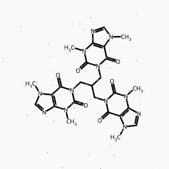 Cn1cnc2c1c(=O)n(CC(Cn1c(=O)c3c(ncn3C)n(C)c1=O)Cn1c(=O)c3c(ncn3C)n(C)c1=O)c(=O)n2C